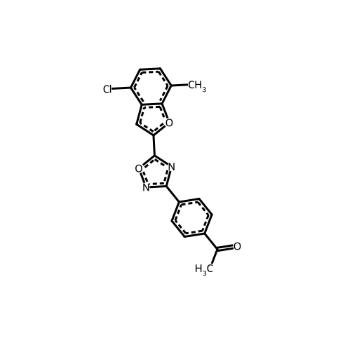 CC(=O)c1ccc(-c2noc(-c3cc4c(Cl)ccc(C)c4o3)n2)cc1